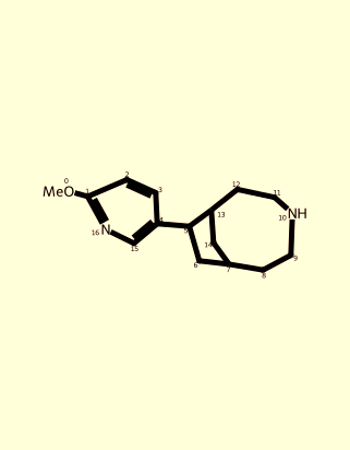 COc1ccc(C2CC3CCNCCC2C3)cn1